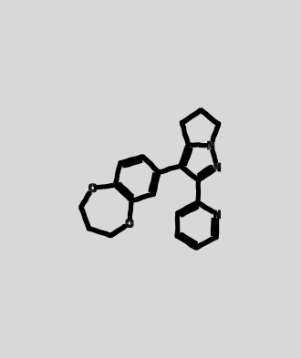 c1ccc(-c2nn3c(c2-c2ccc4c(c2)OCCCO4)CCC3)nc1